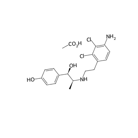 CC(=O)O.C[C@H](NCCc1ccc(N)c(Cl)c1Cl)[C@H](O)c1ccc(O)cc1